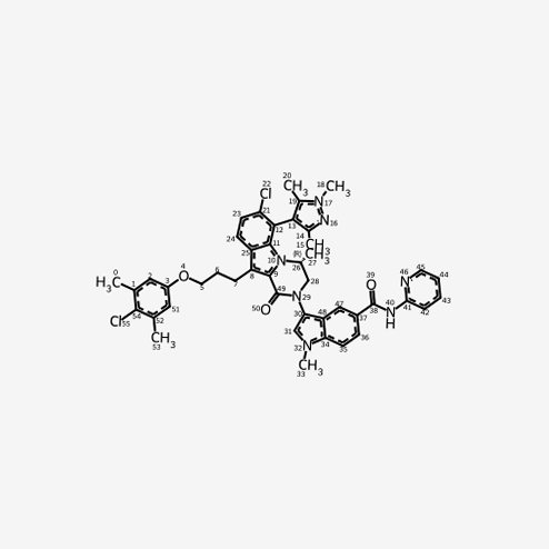 Cc1cc(OCCCc2c3n(c4c(-c5c(C)nn(C)c5C)c(Cl)ccc24)[C@H](C)CN(c2cn(C)c4ccc(C(=O)Nc5ccccn5)cc24)C3=O)cc(C)c1Cl